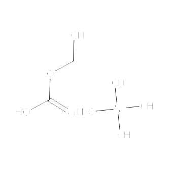 CCOC(=O)O.C[N+](C)(C)C